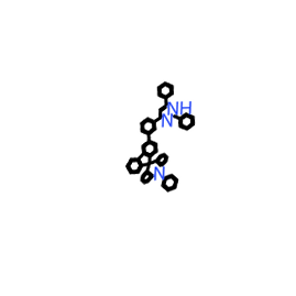 C1=C(c2ccccc2)NC(c2ccccc2)N=C1c1cccc(-c2ccc3c(c2)-c2ccccc2C32c3ccccc3N(c3ccccc3)c3ccccc32)c1